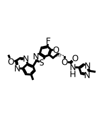 COc1cnc2c(-c3nc4cc(F)c5c(c4s3)C[C@@H](COC(=O)Nc3cnc(C)nc3)O5)cc(C)cc2n1